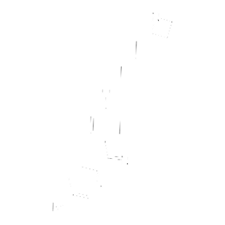 Brc1ccc(-c2nsc3cc(OCCCCC4CCN4)ccc23)cc1